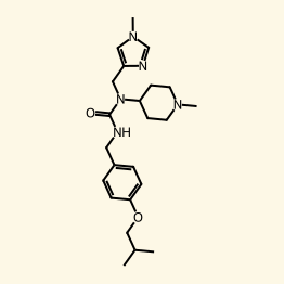 CC(C)COc1ccc(CNC(=O)N(Cc2cn(C)cn2)C2CCN(C)CC2)cc1